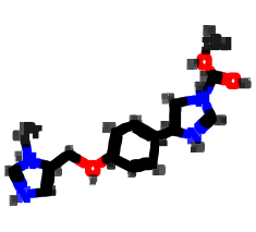 CC(C)n1cncc1COc1ccc(-c2cn(C(=O)OC(C)(C)C)cn2)cc1